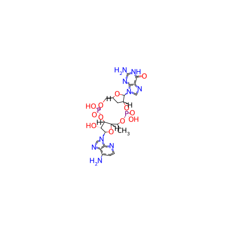 C[C@@H]1OP(=O)(O)O[C@@H]2C[C@@H](COP(=O)(O)O[C@H]3[C@@H](O)[C@H](n4cnc5c(N)ccnc54)O[C@H]31)O[C@H]2n1cnc2c(=O)[nH]c(N)nc21